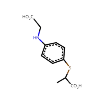 CC(Sc1ccc(NCC(=O)O)cc1)C(=O)O